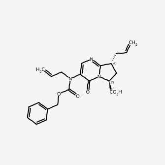 C=CC[C@@H]1C[C@@H](C(=O)O)n2c1ncc(N(CC=C)C(=O)OCc1ccccc1)c2=O